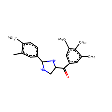 COc1cc(C(=O)C2CNC(c3ccc(C(=O)O)c(C)c3)N2)cc(OC)c1OC